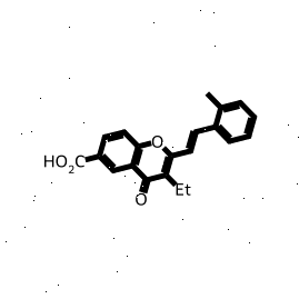 CCc1c(C=Cc2ccccc2C)oc2ccc(C(=O)O)cc2c1=O